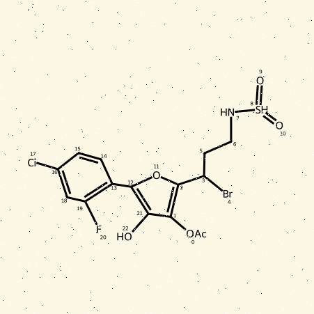 CC(=O)Oc1c(C(Br)CCN[SH](=O)=O)oc(-c2ccc(Cl)cc2F)c1O